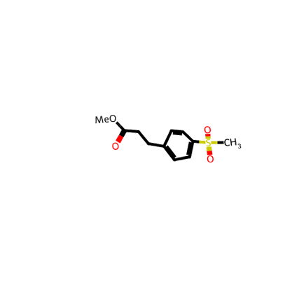 COC(=O)CCc1ccc(S(C)(=O)=O)cc1